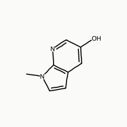 Cn1ccc2cc(O)cnc21